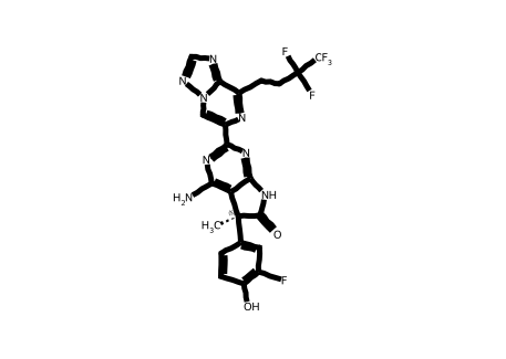 C[C@@]1(c2ccc(O)c(F)c2)C(=O)Nc2nc(-c3cn4ncnc4c(CCC(F)(F)C(F)(F)F)n3)nc(N)c21